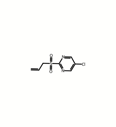 C=CCS(=O)(=O)c1ncc(Cl)cn1